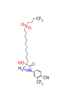 C[C@](O)(CCCCCCCCCCS(=O)(=O)CCCC(F)(F)F)C(=O)Nc1ccc(C#N)c(C(F)(F)F)c1